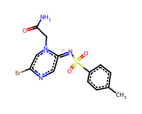 Cc1ccc(S(=O)(=O)/N=c2\cnc(Br)cn2CC(N)=O)cc1